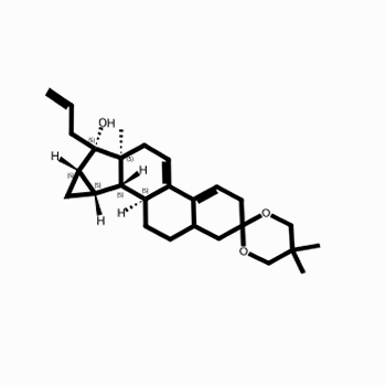 C=CC[C@]1(O)[C@H]2C[C@H]2[C@H]2[C@@H]3CCC4CC5(CC=C4C3=CC[C@@]21C)OCC(C)(C)CO5